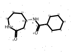 O=C1C[C@@H](NC(=O)C2CCCCC2)CCCN1